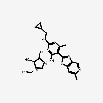 Cc1cc2sc(-c3c(C)nc(NCC4CC4)nc3N[C@@H]3C[C@H](CO)[C@@H](O)[C@H]3O)nc2cn1